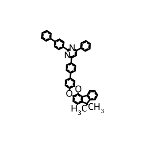 CC1(C)c2ccccc2-c2c1ccc1c2Oc2cc(-c3ccc(-c4cc(-c5ccccc5)nc(-c5ccc(-c6ccccc6)cc5)n4)cc3)ccc2O1